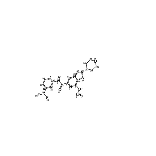 COc1nc(C(=O)Nc2cccc(C(F)F)n2)cn2cc(C3CCOCC3)nc12